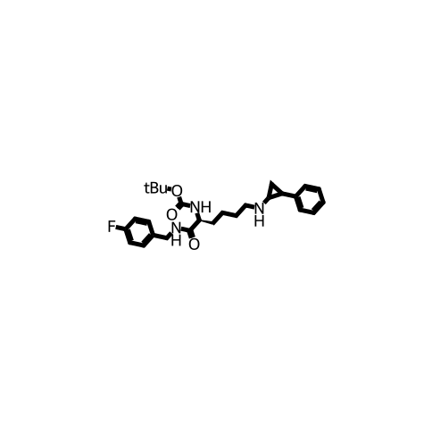 CC(C)(C)OC(=O)N[C@@H](CCCCNC1CC1c1ccccc1)C(=O)NCc1ccc(F)cc1